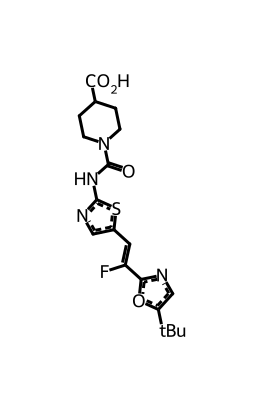 CC(C)(C)c1cnc(C(F)=Cc2cnc(NC(=O)N3CCC(C(=O)O)CC3)s2)o1